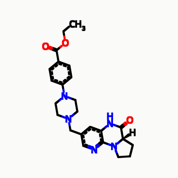 CCOC(=O)c1ccc(N2CCN(Cc3cnc4c(c3)NC(=O)[C@@H]3CCCN43)CC2)cc1